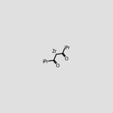 CC(C)C(=O)CC(=O)C(C)C.[Zr]